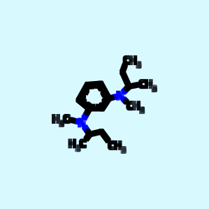 CCC(C)N(C)c1cccc(N(C)C(C)CC)c1